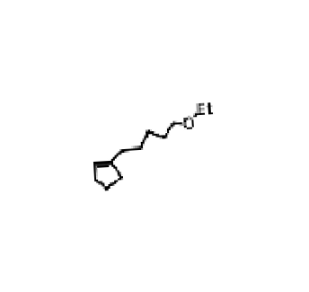 CCOCCCCCC1=CCCC1